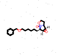 [O-][N+]12OCCC1[C@H]1O[C@H]1[C@H]2CCCCCCOCc1ccccc1